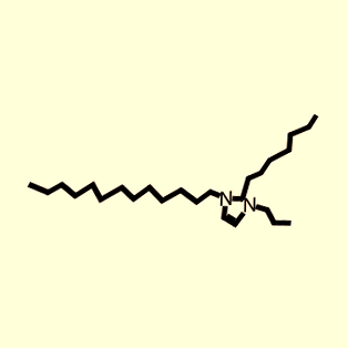 CCCCCCCCCCCCCN1C=CN(CCC)C1CCCCCCC